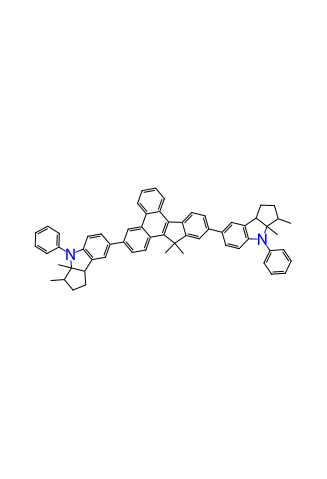 CC1CCC2c3cc(-c4ccc5c(c4)C(C)(C)c4c-5c5ccccc5c5cc(-c6ccc7c(c6)C6CCC(C)C6(C)N7c6ccccc6)ccc45)ccc3N(c3ccccc3)C12C